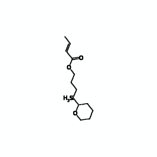 CC=CC(=O)OCCC[SiH2]C1CCCCO1